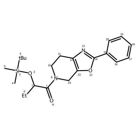 CCC(O[Si](C)(C)C(C)(C)C)C(=O)N1CCc2nc(-c3ccccc3)oc2C1